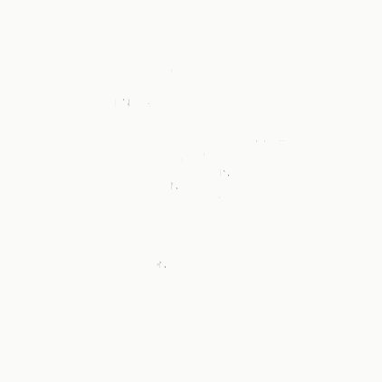 N[C@@H](CCC(=O)NC(C(=O)NCC(=O)O)C(Cc1ccccc1)(Cc1ccccc1)SN=O)C(=O)O